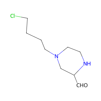 O=CC1CN(CCCCCl)CCN1